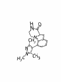 Cc1nn(C)c(C)c1-c1cccc2cc3n(c12)CCNC3=O